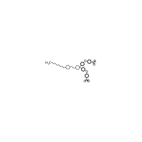 CCCCCCCCCC1CCC(CCC2CCC(c3ccc(Oc4ccc([N+](=O)[O-])cc4)cc3)(c3ccc(Oc4ccc([N+](=O)[O-])cc4)cc3)CC2)CC1